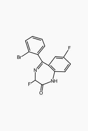 O=C1Nc2ccc(F)cc2C(c2ccccc2Br)=NC1F